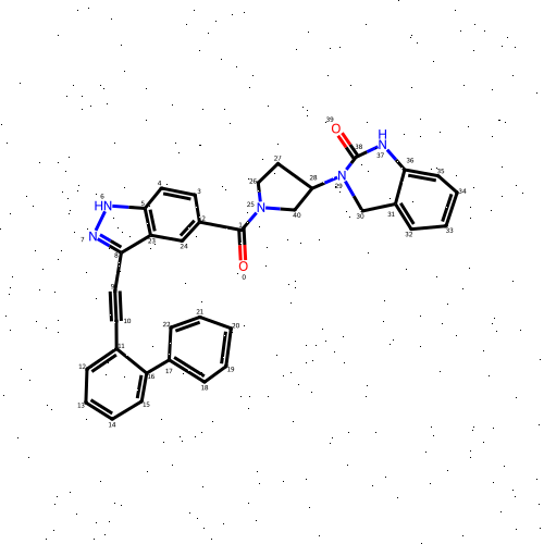 O=C(c1ccc2[nH]nc(C#Cc3ccccc3-c3ccccc3)c2c1)N1CCC(N2Cc3ccccc3NC2=O)C1